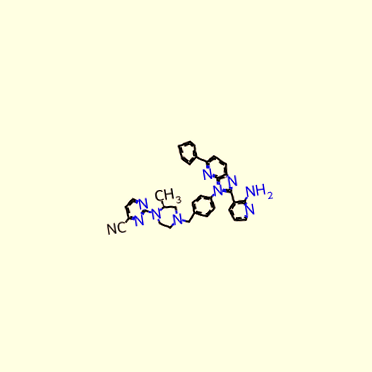 C[C@H]1CN(Cc2ccc(-n3c(-c4cccnc4N)nc4ccc(-c5ccccc5)nc43)cc2)CCN1c1nccc(C#N)n1